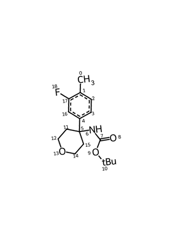 Cc1ccc(C2(NC(=O)OC(C)(C)C)CCOCC2)cc1F